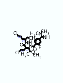 C=C/C(=C\C=C\Cl)NC(=O)C(/C=C/Cl)=C(\NC(=O)c1ccc(C(=N)N(C)C)cc1F)C(=C)OC